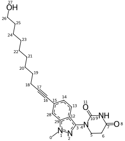 Cn1nc(N2CCC(=O)NC2=O)c2ccc(C#CCCCCCCCCCO)cc21